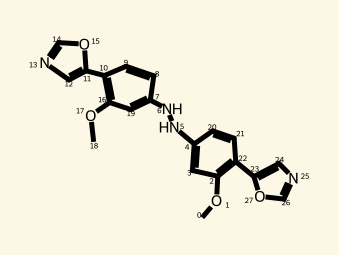 COc1cc(NNc2ccc(-c3cnco3)c(OC)c2)ccc1-c1cnco1